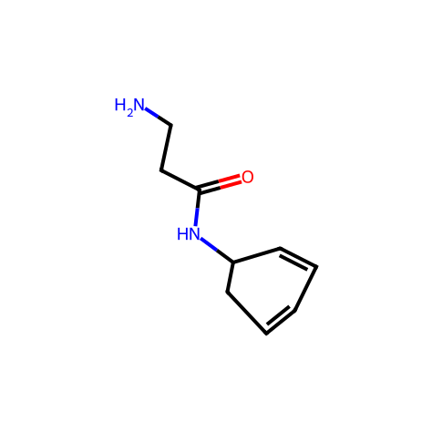 NCCC(=O)NC1C=CC=CC1